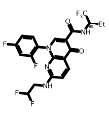 CC[C@@H](NC(=O)c1cn(-c2ccc(F)cc2F)c2nc(NCC(F)F)ccc2c1=O)C(F)(F)F